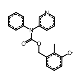 Cc1c([O])cccc1COC(=O)N(c1ccccc1)c1cccnc1